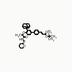 CC(Oc1ccc(-c2ccc(C=CC(=O)OC(C)(C)C)cc2)cc1C12CC3CC(CC(C3)C1)C2)C(=O)NOC1CCCCO1